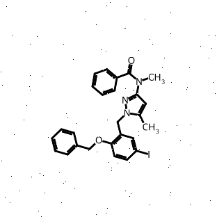 Cc1cc(N(C)C(=O)c2ccccc2)nn1Cc1cc(I)ccc1OCc1ccccc1